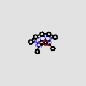 c1ccc(-c2ccnc(-n3c4ccccc4c4ccc5c6ccc7c8ccc9c%10ccccc%10n(-c%10nc(-c%11ccccc%11)nc(-c%11ccccc%11)n%10)c9c8n(-c8ccccc8)c7c6n(-c6ccccc6)c5c43)n2)cc1